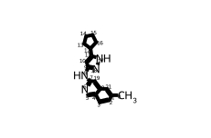 Cc1ccc2cnc(Nc3cc(C4CCCC4)[nH]n3)cc2c1